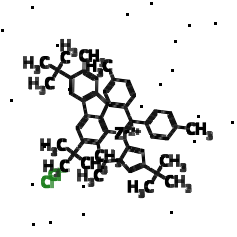 CCC1C=C(C(C)(C)C)C=[C]1[Zr+2](=[C](c1ccc(C)cc1)c1ccc(C)cc1)[c]1c(C)c(C(C)(C)C)cc2c1Cc1cc(C)c(C(C)(C)C)cc1-2.[Cl-].[Cl-]